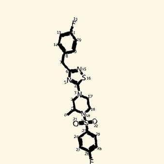 CC1CN(c2nc(Cc3ccc(F)cc3)ns2)CCN1S(=O)(=O)c1ccc(F)cc1